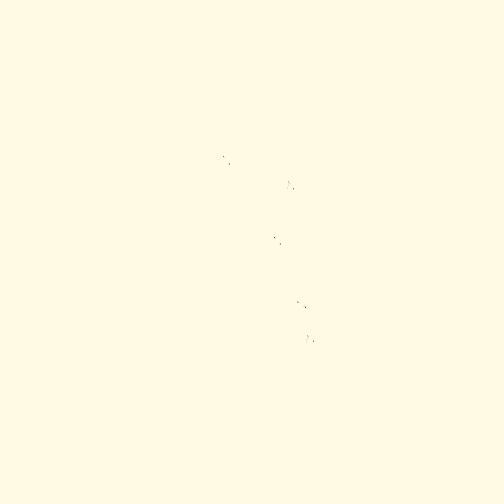 c1cc2ccc3cc4nccnc4nc3c2nn1